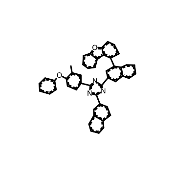 Cc1cc(-c2nc(-c3ccc4ccccc4c3)nc(-c3cc(-c4cccc5oc6ccccc6c45)c4ccccc4c3)n2)ccc1Oc1ccccc1